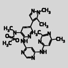 Cc1cc(Nc2cc(Nc3ncc(-c4cnn(C)c4C)cc3N(C)S(C)(=O)=O)ncn2)nc(C)n1